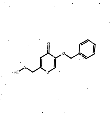 N#CSCc1cc(=O)c(OCc2ccccc2)co1